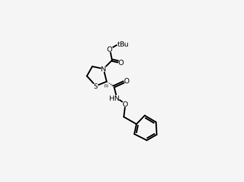 CC(C)(C)OC(=O)N1CCS[C@H]1C(=O)NOCc1ccccc1